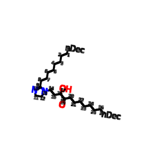 CCCCCCCCCCCCCCCCCCC1=NCCN1CCC(O)C(=O)CCCCCCCCCCCCCCCCC